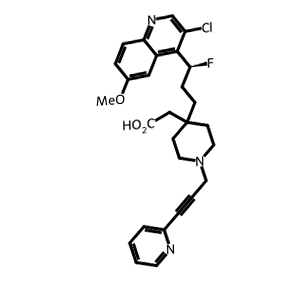 COc1ccc2ncc(Cl)c([C@@H](F)CCC3(CC(=O)O)CCN(CC#Cc4ccccn4)CC3)c2c1